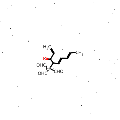 C=CC(=O)[CH](C=CC=CC)[Fe]([CH]=O)([CH]=O)[CH]=O